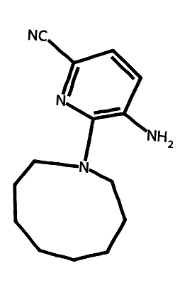 N#Cc1ccc(N)c(N2CCCCCCCC2)n1